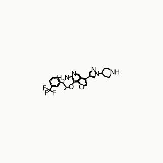 CC(Cc1cccc(C(F)(F)F)c1)Oc1c(N)ncc2c(-c3cnn(C4CCNCC4)c3)coc12